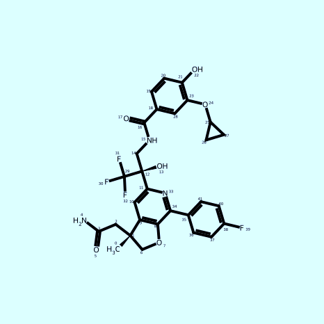 C[C@]1(CC(N)=O)COc2c1cc([C@@](O)(CNC(=O)c1ccc(O)c(OC3CC3)c1)C(F)(F)F)nc2-c1ccc(F)cc1